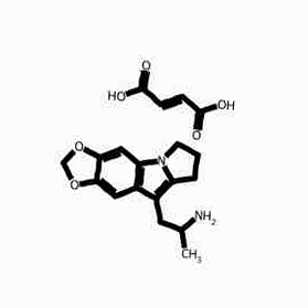 CC(N)Cc1c2n(c3cc4c(cc13)OCO4)CCC2.O=C(O)C=CC(=O)O